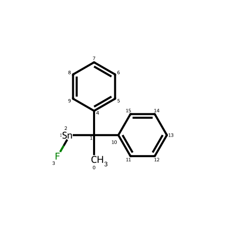 C[C]([Sn][F])(c1ccccc1)c1ccccc1